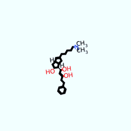 CN(C)CCCCCC1=C[C@H]2C[C@@H](O)[C@H](C(O)C=C(O)CCc3ccccc3)[C@H]2C1